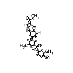 C=CC(=O)N1CC(Nc2cc(-c3cc(C)cc(C(=O)Nc4ccc(C(C)C)c(C)c4)c3)c[nH]c2=O)C1